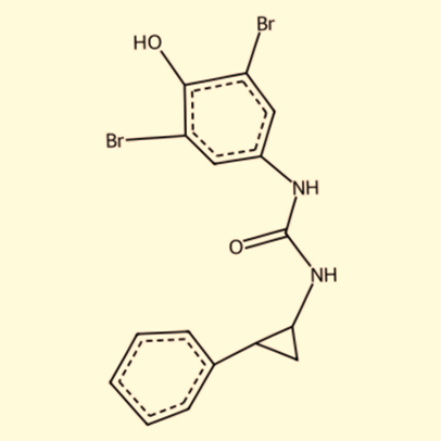 O=C(Nc1cc(Br)c(O)c(Br)c1)NC1CC1c1ccccc1